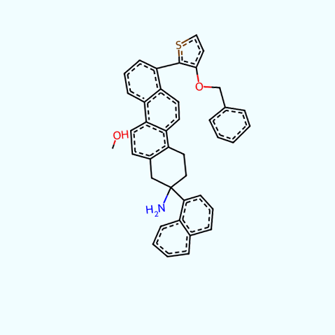 CO.NC1(c2cccc3ccccc23)CCc2c(ccc3c2ccc2c(-c4sccc4OCc4ccccc4)cccc23)C1